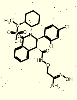 CN([C@H]1CCCC[C@@H]1N1C(=O)c2ccccc2[C@@H](C(=O)NOCC(N)=NO)[C@@H]1c1ccc(Cl)cc1Cl)S(C)(=O)=O